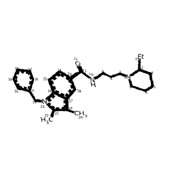 CCC1CCCCN1CCCNC(=O)c1ccc2c(c1)c(C)c(C)n2Cc1ccccc1